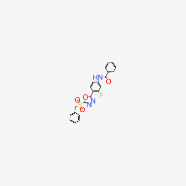 O=C(Nc1ccc(-c2nnc(S(=O)(=O)Cc3ccccc3)o2)c(F)c1)c1ccccc1